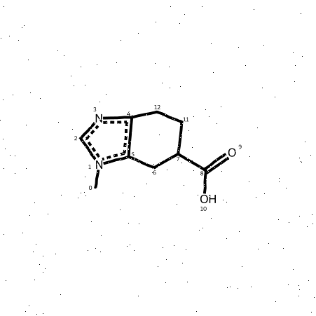 Cn1cnc2c1CC(C(=O)O)CC2